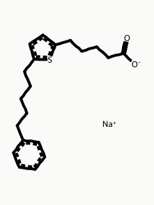 O=C([O-])CCCCc1ccc(CCCCCc2ccccc2)s1.[Na+]